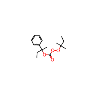 CCC(C)(C)OOC(=O)OC(C)(CC)c1ccccc1